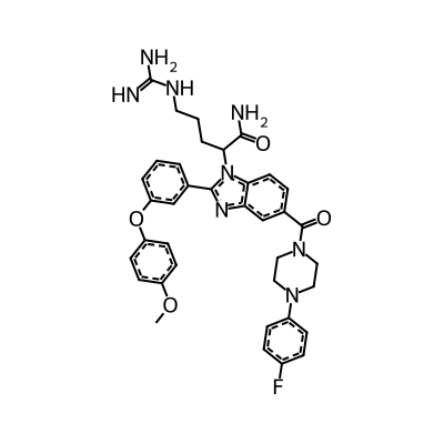 COc1ccc(Oc2cccc(-c3nc4cc(C(=O)N5CCN(c6ccc(F)cc6)CC5)ccc4n3C(CCCNC(=N)N)C(N)=O)c2)cc1